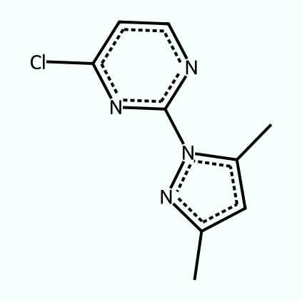 Cc1cc(C)n(-c2nccc(Cl)n2)n1